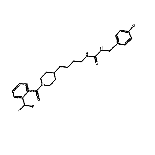 O=C(NCCCCC1CCN(C(=O)c2ccccc2C(F)F)CC1)NCc1ccc(Cl)cc1